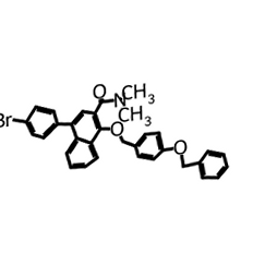 CN(C)C(=O)c1cc(-c2ccc(Br)cc2)c2ccccc2c1OCc1ccc(OCc2ccccc2)cc1